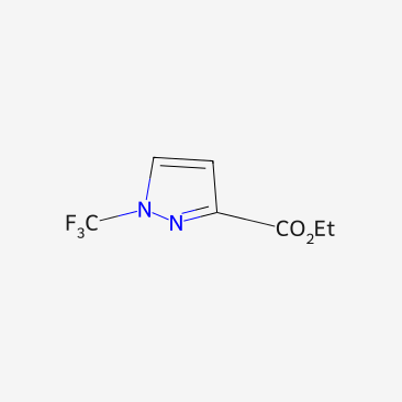 CCOC(=O)c1ccn(C(F)(F)F)n1